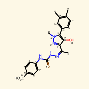 C/C(=N/NC(=S)Nc1ccc(C(=O)O)cc1)c1nn(C)c(-c2ccc(C)c(C)c2)c1O